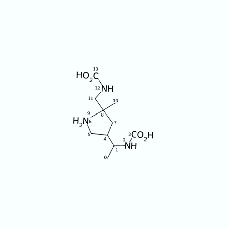 CC(NC(=O)O)C(CN)CC(C)(C)CNC(=O)O